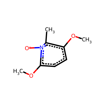 COc1ccc(OC)[n+]([O-])c1C